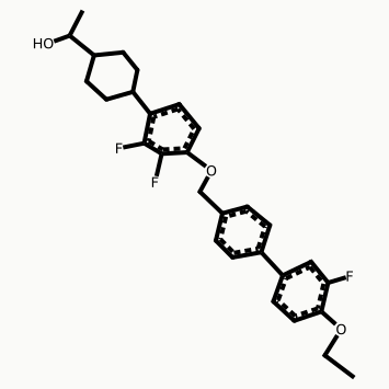 CCOc1ccc(-c2ccc(COc3ccc(C4CCC(C(C)O)CC4)c(F)c3F)cc2)cc1F